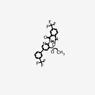 CCS(=O)(=O)c1cc(-c2cccc(C(F)(F)F)c2)cnc1-n1nnc2ccc(C(F)(F)F)cc2c1=O